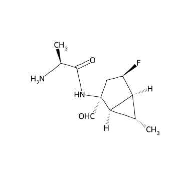 C[C@H]1[C@H]2[C@@H]1[C@@](C=O)(NC(=O)[C@H](C)N)C[C@H]2F